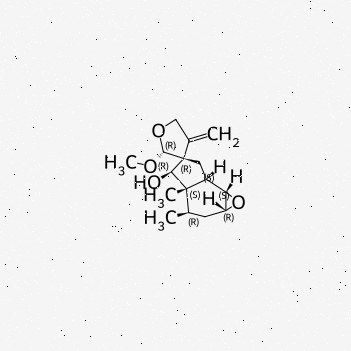 C=C1CO[C@@H](OC)[C@]12C[C@@H]1[C@@H]3O[C@@H]3C[C@@H](C)[C@]1(C)[C@H]2O